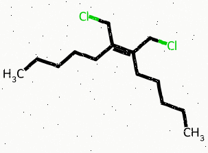 CCCCC/C(CCl)=C(/CCl)CCCCC